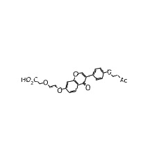 CC(=O)CCOc1ccc(-c2coc3cc(OCCOCC(=O)O)ccc3c2=O)cc1